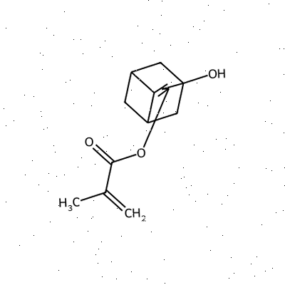 C=C(C)C(=O)OC1=C2C3CC2CC(O)(C1)C3